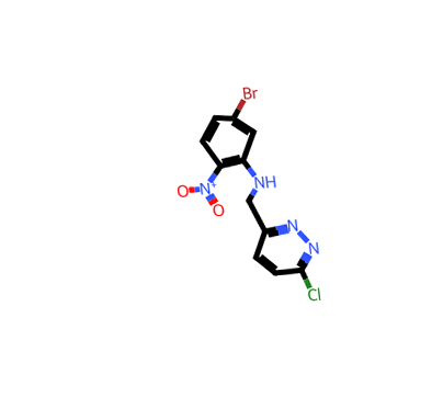 O=[N+]([O-])c1ccc(Br)cc1NCc1ccc(Cl)nn1